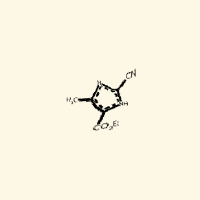 CCOC(=O)c1[nH]c(C#N)nc1C